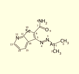 C[As](C)N=Nc1c(C(N)=O)[se]c2ncccc12